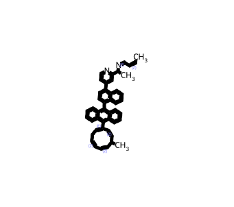 C/C=C\C=N/C(C)c1cc(-c2ccc(-c3c4ccccc4c(C4=C/C/C=C\C=C/C(C)/C=C\4)c4ccccc34)c3ccccc23)ccn1